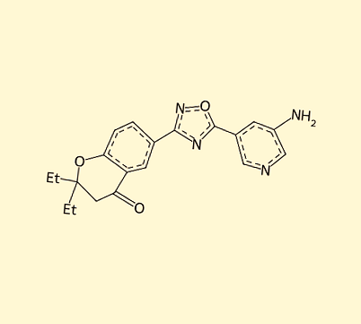 CCC1(CC)CC(=O)c2cc(-c3noc(-c4cncc(N)c4)n3)ccc2O1